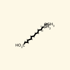 O=C(O)CCCCCCCCCCC[SiH2]O[SiH3]